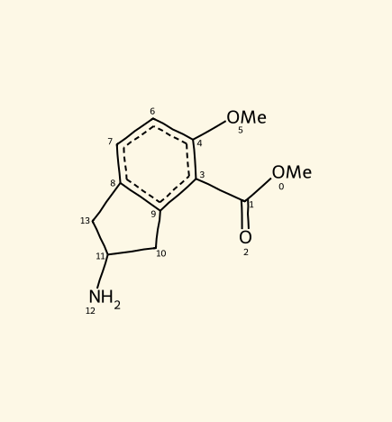 COC(=O)c1c(OC)ccc2c1CC(N)C2